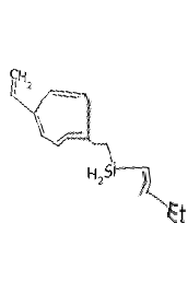 C=Cc1ccc(C[SiH2]C=CCC)cc1